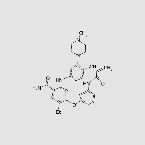 C=CC(=O)Nc1cccc(Oc2nc(Nc3ccc(C)c(N4CCN(C)CC4)c3)c(C(N)=O)nc2CC)c1